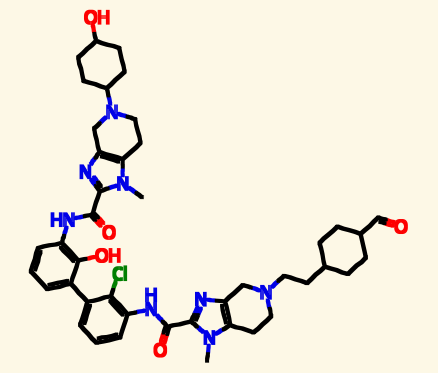 Cn1c(C(=O)Nc2cccc(-c3cccc(NC(=O)c4nc5c(n4C)CCN(CCC4CCC(C=O)CC4)C5)c3Cl)c2O)nc2c1CCN(C1CCC(O)CC1)C2